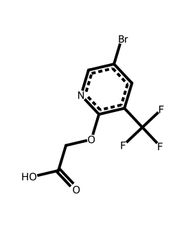 O=C(O)COc1ncc(Br)cc1C(F)(F)F